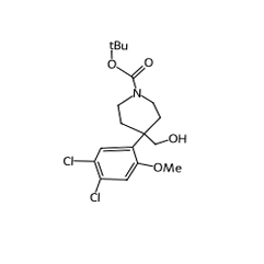 COc1cc(Cl)c(Cl)cc1C1(CO)CCN(C(=O)OC(C)(C)C)CC1